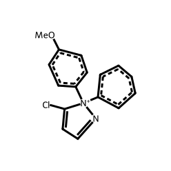 COc1ccc([N+]2(c3ccccc3)N=CC=C2Cl)cc1